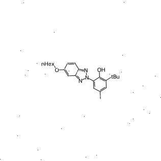 CCCCCCOc1ccc2nn(-c3cc(C)cc(C(C)(C)C)c3O)nc2c1